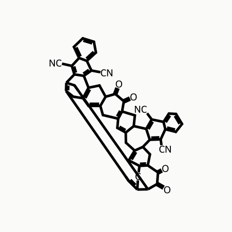 N#Cc1c2c(c(C#N)c3ccccc13)C1=C3C=C4CC5=C(CC6C(=C5)CC5=CC7=C(CC5c5c6c(C#N)c6ccccc6c5C#N)C(=O)C(=O)C5CC2=C(C=C5C7)C3)C(=O)C(=O)C4C1